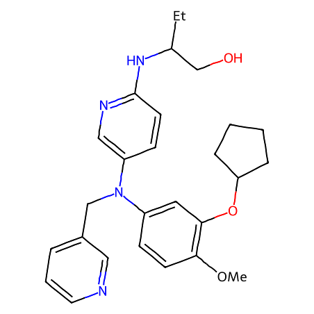 CCC(CO)Nc1ccc(N(Cc2cccnc2)c2ccc(OC)c(OC3CCCC3)c2)cn1